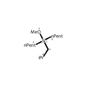 CCCCC[Si](CCCCC)(CC(C)C)OC